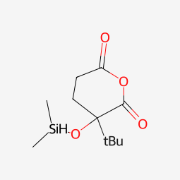 C[SiH](C)OC1(C(C)(C)C)CCC(=O)OC1=O